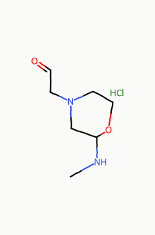 CNC1CN(CC=O)CCO1.Cl